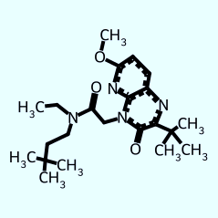 CCN(CCC(C)(C)C)C(=O)Cn1c(=O)c(C(C)(C)C)nc2ccc(OC)nc21